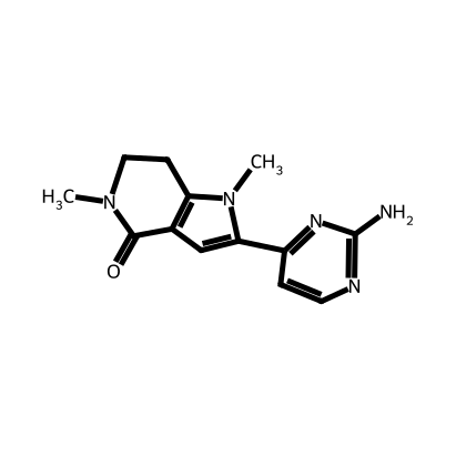 CN1CCc2c(cc(-c3ccnc(N)n3)n2C)C1=O